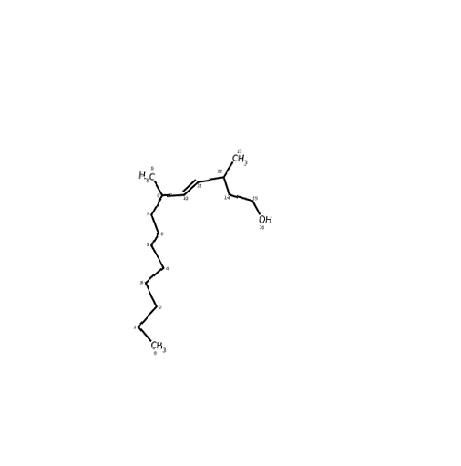 CCCCCCCCC(C)C=CC(C)CCO